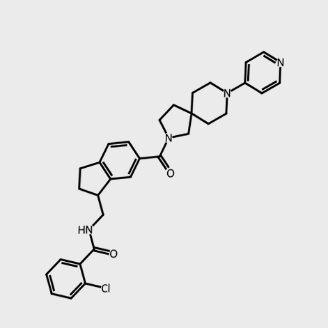 O=C(NCC1CCc2ccc(C(=O)N3CCC4(CCN(c5ccncc5)CC4)C3)cc21)c1ccccc1Cl